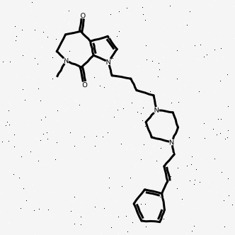 CN1CCC(=O)c2ccn(CCCCN3CCN(C/C=C/c4ccccc4)CC3)c2C1=O